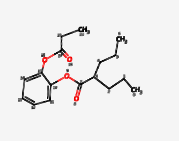 CCCC(CCC)C(=O)Oc1ccccc1OC(=O)CC